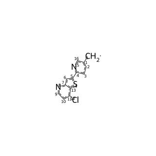 [CH2]c1ccc(-c2cc3nccc(Cl)c3s2)nc1